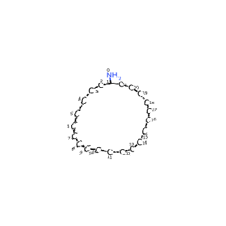 NC1CCCCCCCCCCCCCCCCCCCC1